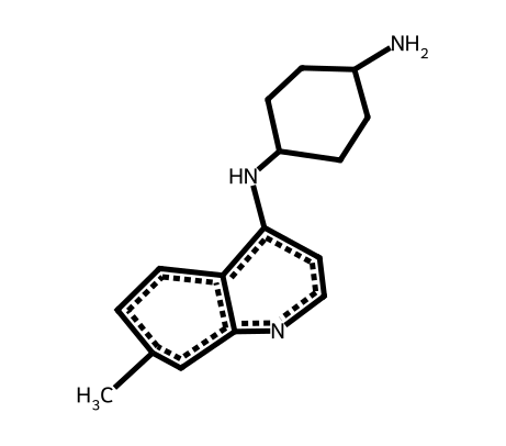 Cc1ccc2c(NC3CCC(N)CC3)ccnc2c1